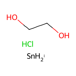 Cl.OCCO.[SnH2]